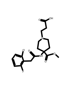 COC(=O)C1(NC(=O)Cc2c(F)cccc2Cl)CCN(CCC(=O)O)CC1